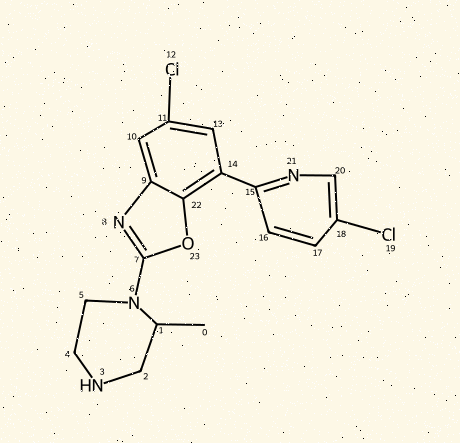 CC1CNCCN1c1nc2cc(Cl)cc(-c3ccc(Cl)cn3)c2o1